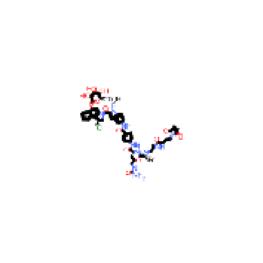 CC(C)[C@H](NCCNC(=O)CCCN1C(=O)C=CC1=O)C(=O)N[C@@H](CCCNC(N)=O)C(=O)Nc1ccc(C(=O)Nc2ccc3[nH]c(C(=O)N4C[C@@H](CCl)c5c4cc(O[C@H]4OC(C(=O)O)[C@@H](O)C(O)[C@H]4O)c4ccccc54)cc3c2)cc1